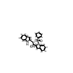 O=S(=O)(c1ccccc1)n1c(C(O)Cc2cc3ccccc3[nH]2)cc2ccccc21